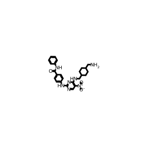 NCC1CCC(CNc2nc(Nc3ccc(C(=O)Nc4ccccc4)cc3)ncc2[N+](=O)[O-])CC1